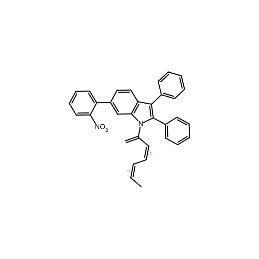 C=C(/C=C\C=C/C)n1c(-c2ccccc2)c(-c2ccccc2)c2ccc(-c3ccccc3[N+](=O)[O-])cc21